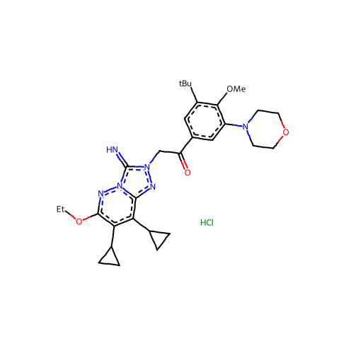 CCOc1nn2c(=N)n(CC(=O)c3cc(N4CCOCC4)c(OC)c(C(C)(C)C)c3)nc2c(C2CC2)c1C1CC1.Cl